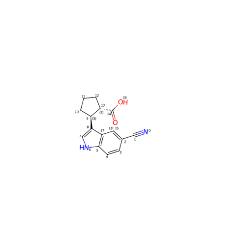 N#Cc1ccc2[nH]cc([C@H]3CCC[C@@H]3C(=O)O)c2c1